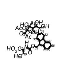 CC(=O)O[C@@](C(C)=O)(C(=O)C(C)=O)[C@](O)(C(C)=O)[C@@H](O)[C@H](O)CO.O=C(N[C@@H](CO)C(=O)O)OCC1c2ccccc2-c2ccccc21